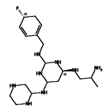 CC(N)CN[C@H]1CC(NC2CNCCN2)NC(NCC2=CC[C@@H](F)C=C2)N1